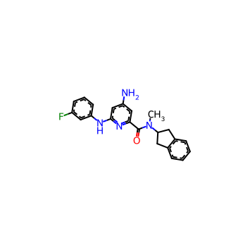 CN(C(=O)c1cc(N)cc(Nc2cccc(F)c2)n1)C1Cc2ccccc2C1